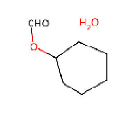 O.O=COC1CCCCC1